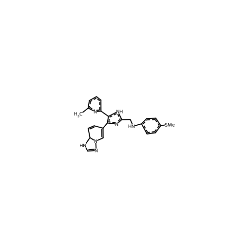 CSc1ccc(NCc2nc(C3=CN4N=CNC4C=C3)c(-c3cccc(C)n3)[nH]2)cc1